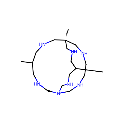 CC1CNC[N@]2CNCCNC[C@](C)(CNC1)CNCC(C)CNC2